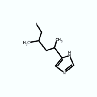 CC(CI)CC(C)c1cnc[nH]1